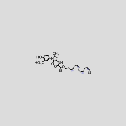 CC/C=C\C/C=C\C/C=C\C/C=C\CCOC(CC)C(=O)NC1CC(C)N(c2ccc(O)c(C(=O)O)c2)C1=O